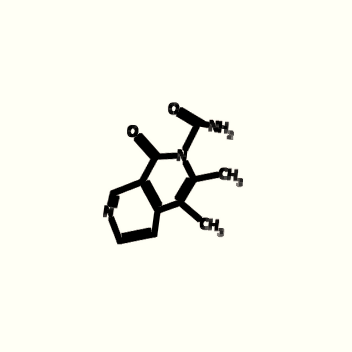 Cc1c(C)n(C(N)=O)c(=O)c2cnccc12